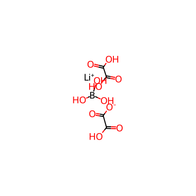 O=C(O)C(=O)O.O=C([O-])C(=O)O.OB(O)O.[Li+]